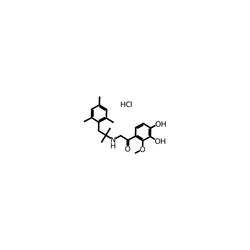 COc1c(C(=O)CNC(C)(C)Cc2c(C)cc(C)cc2C)ccc(O)c1O.Cl